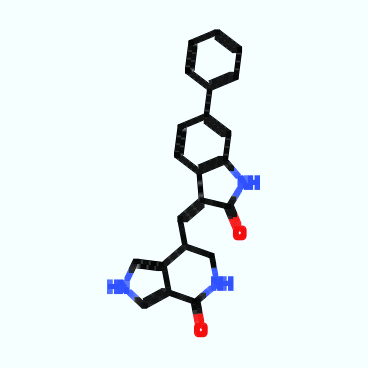 O=C1Nc2cc(-c3ccccc3)ccc2C1=CC1CNC(=O)c2c[nH]cc21